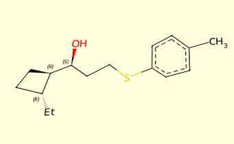 CC[C@@H]1CC[C@H]1[C@@H](O)CCSc1ccc(C)cc1